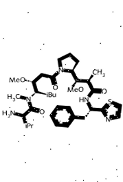 CC[C@H](C)[C@@H]([C@@H](CC(=O)N1CCC[C@H]1[C@H](OC)[C@@H](C)C(=O)N[C@@H](Cc1ccccc1)c1nccs1)OC)N(C)C(=O)C(N)C(C)C